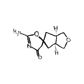 NC1=NC(=O)C2(C[C@H]3COC[C@H]3C2)O1